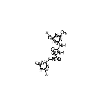 COc1nc(NC(=O)NS(=O)(=O)NCc2nc(C)cc(C)n2)nc(OC)n1